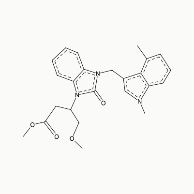 COCC(CC(=O)OC)n1c(=O)n(Cc2cn(C)c3cccc(C)c23)c2ccccc21